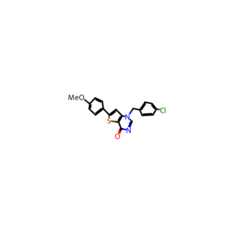 COc1ccc(-c2cc3c(s2)c(=O)ncn3Cc2ccc(Cl)cc2)cc1